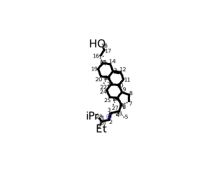 CC[C@H](/C=C/[C@@H](C)[C@H]1CCC2C3CC=C4C[C@@H]([CH]CO)CC[C@]4(C)C3CC[C@@]21C)C(C)C